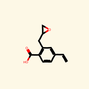 C=Cc1ccc(C(=O)O)c(CC2CO2)c1